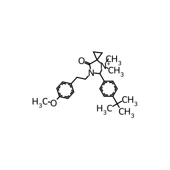 COc1ccc(CCN2C(=O)C3(CC3)[N+](C)(C)C2c2ccc(C(C)(C)C)cc2)cc1